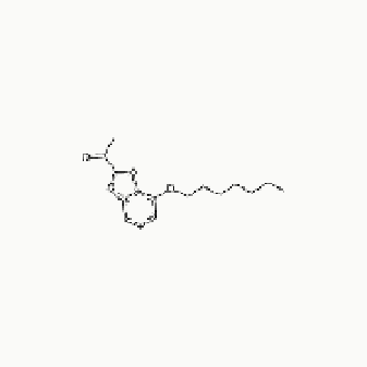 CCCCCCCOc1cccc2cc(C(C)=O)oc12